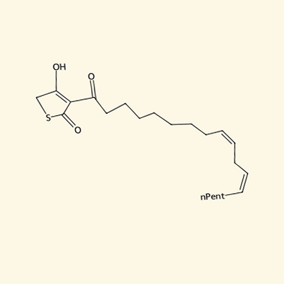 CCCCC/C=C\C/C=C\CCCCCCCC(=O)C1=C(O)CSC1=O